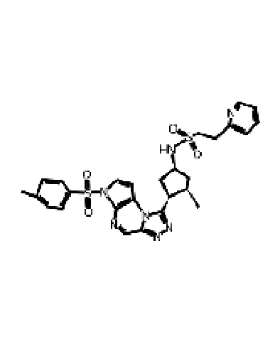 Cc1ccc(S(=O)(=O)n2ccc3c2ncc2nnc([C@H]4C[C@@H](NS(=O)(=O)CCc5ccccn5)C[C@H]4C)n23)cc1